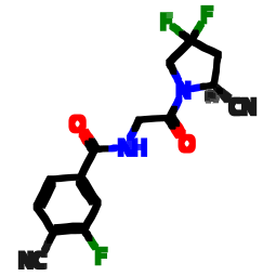 N#Cc1ccc(C(=O)NCC(=O)N2CC(F)(F)C[C@H]2C#N)cc1F